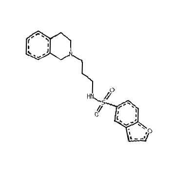 O=S(=O)(NCCCN1CCc2ccccc2C1)c1ccc2occc2c1